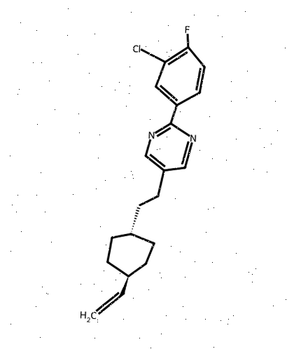 C=C[C@H]1CC[C@H](CCc2cnc(-c3ccc(F)c(Cl)c3)nc2)CC1